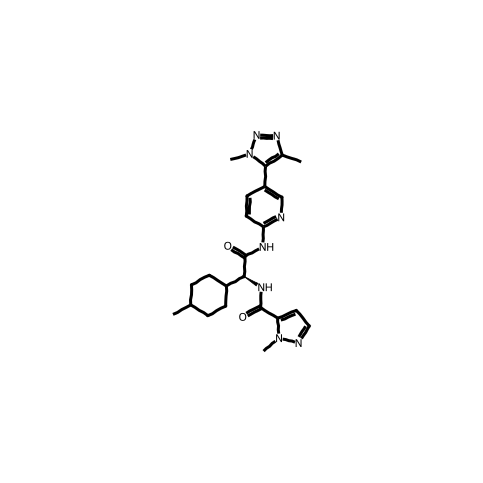 Cc1nnn(C)c1-c1ccc(NC(=O)[C@@H](NC(=O)c2ccnn2C)C2CCC(C)CC2)nc1